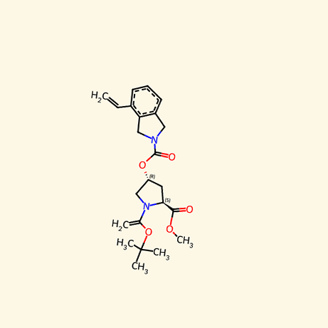 C=Cc1cccc2c1CN(C(=O)O[C@@H]1C[C@@H](C(=O)OC)N(C(=C)OC(C)(C)C)C1)C2